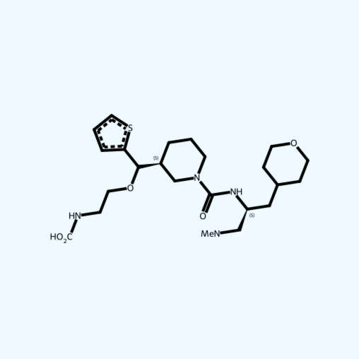 CNC[C@H](CC1CCOCC1)NC(=O)N1CCC[C@H](C(OCCNC(=O)O)c2cccs2)C1